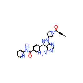 CC#CC(=O)N1CCC(n2nc(-c3ccc(C(=O)Nc4ccccn4)cc3)c3c(N)ncnc32)C1